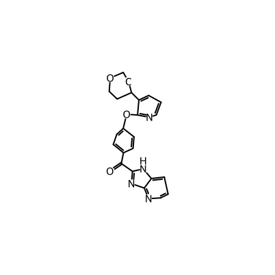 O=C(c1ccc(Oc2ncccc2C2CCOCC2)cc1)c1nc2ncccc2[nH]1